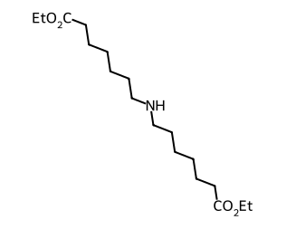 CCOC(=O)CCCCCCNCCCCCCC(=O)OCC